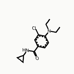 CCN(CC)c1ccc(C(=O)NC2CC2)cc1Cl